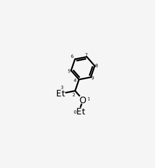 CCOC(CC)c1ccccc1